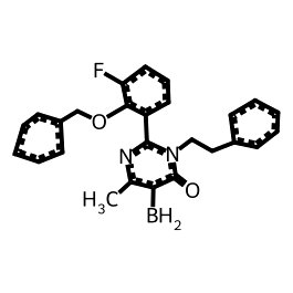 Bc1c(C)nc(-c2cccc(F)c2OCc2ccccc2)n(CCc2ccccc2)c1=O